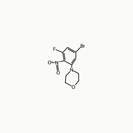 O=[N+]([O-])c1c(F)cc(Br)cc1N1CCOCC1